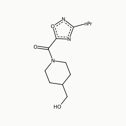 CCCc1noc(C(=O)N2CCC(CO)CC2)n1